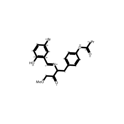 COCC(=O)C(Cc1ccc(OC(=O)C(C)C)cc1)N=Cc1cc(Br)ccc1O